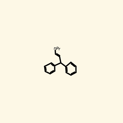 CCC/C=C/C(c1ccccc1)c1ccccc1